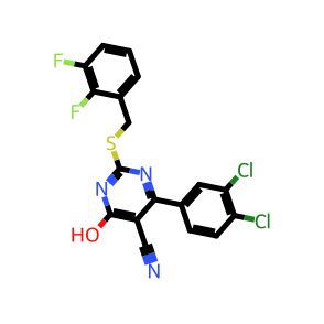 N#Cc1c(O)nc(SCc2cccc(F)c2F)nc1-c1ccc(Cl)c(Cl)c1